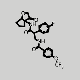 O=C(NCC(C(=O)NC12CCCC1OCC2=O)c1ccc(F)cc1)c1ccc(OC(F)(F)F)cc1